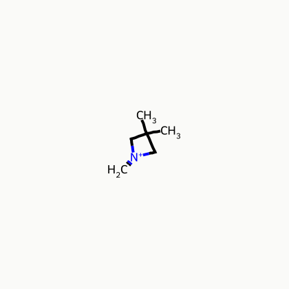 C=[N+]1CC(C)(C)C1